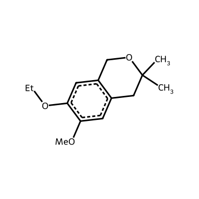 CCOc1cc2c(cc1OC)CC(C)(C)OC2